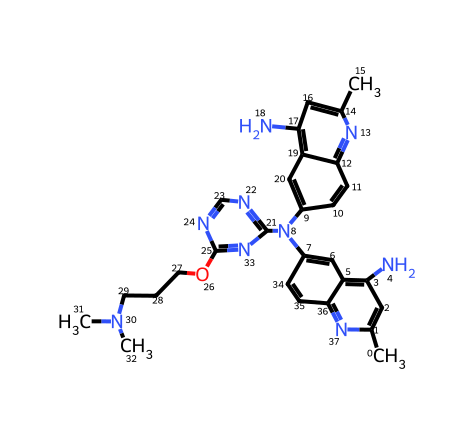 Cc1cc(N)c2cc(N(c3ccc4nc(C)cc(N)c4c3)c3ncnc(OCCCN(C)C)n3)ccc2n1